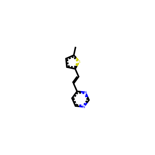 Cc1ccc(/C=C/c2ccncn2)s1